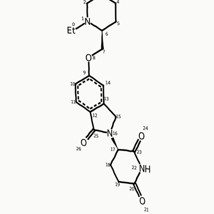 CCN1CCCC[C@H]1COc1ccc2c(c1)CN([C@@H]1CCC(=O)NC1=O)C2=O